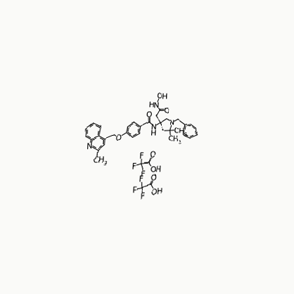 Cc1cc(COc2ccc(C(=O)NC3(CC(=O)NO)CN(Cc4ccccc4)C(C)(C)C3)cc2)c2ccccc2n1.O=C(O)C(F)(F)F.O=C(O)C(F)(F)F